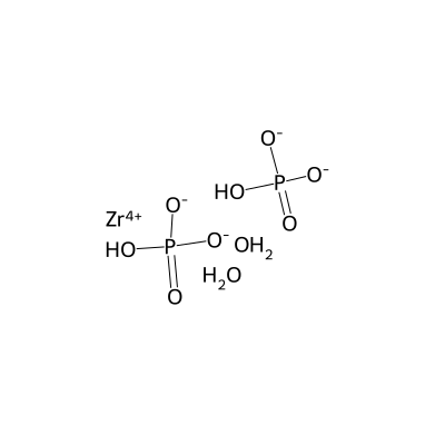 O.O.O=P([O-])([O-])O.O=P([O-])([O-])O.[Zr+4]